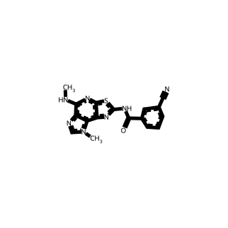 CNc1nc2sc(NC(=O)c3cccc(C#N)c3)nc2c2c1ncn2C